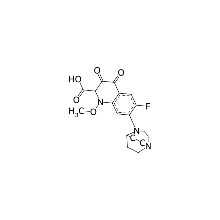 CON1c2cc(N3CCN4CCC3CC4)c(F)cc2C(=O)C(=O)C1C(=O)O